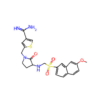 COc1ccc2ccc(S(=O)(=O)CNC3CCN(Cc4cc(C(=N)N)cs4)C3=O)cc2c1